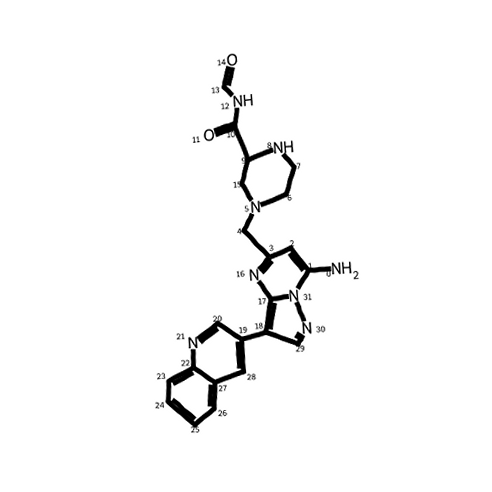 Nc1cc(CN2CCNC(C(=O)NC=O)C2)nc2c(-c3cnc4ccccc4c3)cnn12